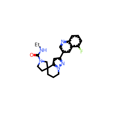 CCNC(=O)N1CCC2(CCCn3nc(-c4cnc5cccc(F)c5c4)cc32)C1